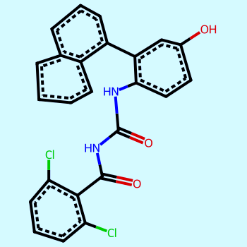 O=C(NC(=O)c1c(Cl)cccc1Cl)Nc1ccc(O)cc1-c1cccc2ccccc12